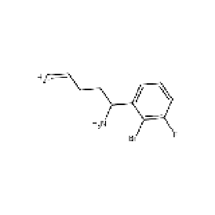 C=CCCC(N)c1cccc(F)c1Br